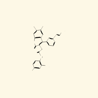 Cc1cc2c(-c3cccc(C=CC=O)c3)c(CC(=O)Nc3ccc(F)cc3C(F)(F)F)c(=O)oc2cc1Cl